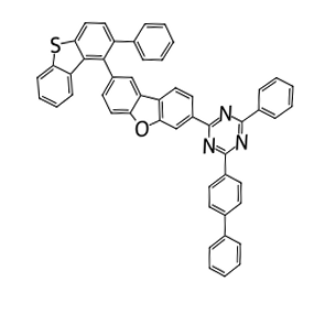 c1ccc(-c2ccc(-c3nc(-c4ccccc4)nc(-c4ccc5c(c4)oc4ccc(-c6c(-c7ccccc7)ccc7sc8ccccc8c67)cc45)n3)cc2)cc1